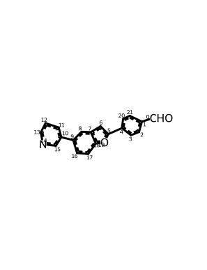 O=Cc1ccc(-c2cc3cc(-c4cccnc4)ccc3o2)cc1